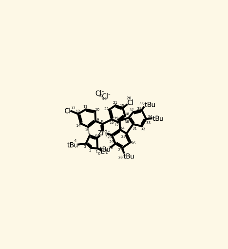 CCC1C=C(C(C)(C)C)C=[C]1[Zr+2](=[C](c1ccc(Cl)cc1)c1ccc(Cl)cc1)[c]1c2c(cc(C(C)(C)C)c1C(C)(C)C)-c1cc(C(C)(C)C)c(C(C)(C)C)cc1C2.[Cl-].[Cl-]